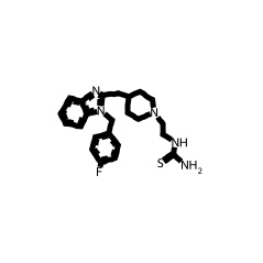 NC(=S)NCCN1CCC(Cc2nc3ccccc3n2Cc2ccc(F)cc2)CC1